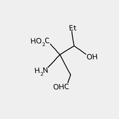 CCC(O)C(N)(CC=O)C(=O)O